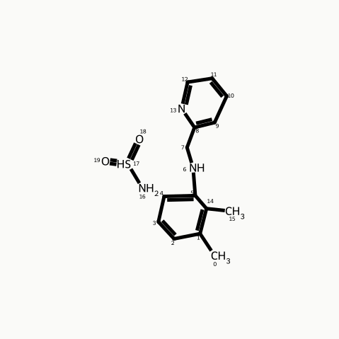 Cc1cccc(NCc2ccccn2)c1C.N[SH](=O)=O